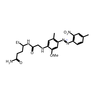 CCC(CCC(N)=O)NC(=O)CNc1cc(C)c(/N=N/c2ccc(C)cc2[N+](=O)[O-])cc1OC